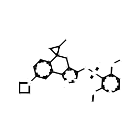 COc1ccnc(OC)c1S(=O)(=O)Nc1noc2c1CC1(CC1C)c1ccc(N3CCC3)cc1-2